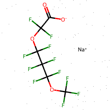 O=C([O-])C(F)(F)OC(F)(F)C(F)(F)C(F)(F)OC(F)(F)F.[Na+]